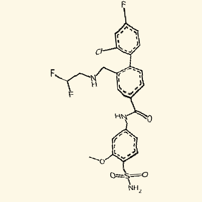 COc1cc(NC(=O)c2ccc(-c3ccc(F)cc3Cl)c(CNCC(F)F)c2)ccc1S(N)(=O)=O